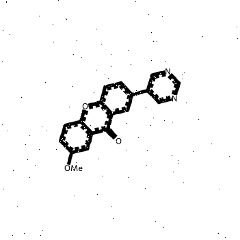 COc1ccc2oc3ccc(-c4cncnc4)cc3c(=O)c2c1